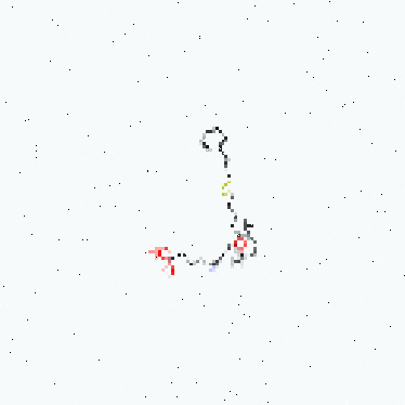 O=C(O)CCC/C=C\C[C@@H]1[C@H](CCCCSCC=Cc2ccccc2)[C@@H]2CC[C@H]1O2